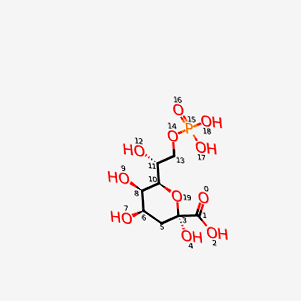 O=C(O)[C@@]1(O)C[C@@H](O)[C@@H](O)[C@@H]([C@H](O)COP(=O)(O)O)O1